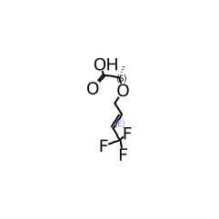 C[C@H](OC/C=C/C(F)(F)F)C(=O)O